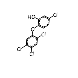 Oc1cc(Cl)ccc1Oc1cc(Cl)c(Cl)cc1Cl